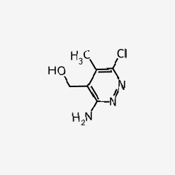 Cc1c(Cl)nnc(N)c1CO